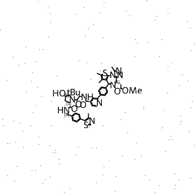 COC(=O)C[C@@H]1N=C(c2ccc(-c3cc(C(=O)NC(C(=O)N4C[C@H](O)C[C@H]4C(=O)N[C@@H](C)c4ccc(-c5scnc5C)cc4)C(C)(C)C)ccn3)cc2)c2c(sc(C)c2C)-n2c(C)nnc21